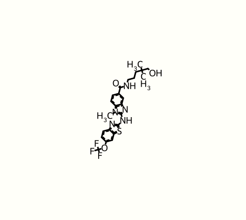 Cn1c(Nc2nc3ccc(OC(F)(F)F)cc3s2)nc2cc(C(=O)NCCCC(C)(C)CO)ccc21